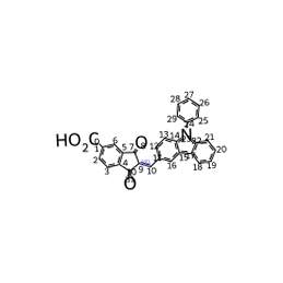 O=C(O)c1ccc2c(c1)C(=O)/C(=C\c1ccc3c(c1)c1ccccc1n3-c1ccccc1)C2=O